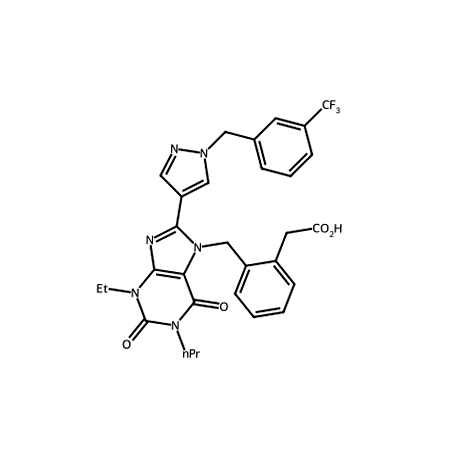 CCCn1c(=O)c2c(nc(-c3cnn(Cc4cccc(C(F)(F)F)c4)c3)n2Cc2ccccc2CC(=O)O)n(CC)c1=O